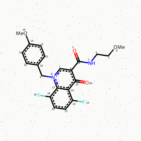 COCCNC(=O)c1cn(Cc2ccc(OC)cc2)c2c(F)ccc(F)c2c1=O